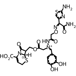 NC(=O)C(=NOCC(=O)N[N+](=Cc1ccc(O)c(O)c1)CC(=O)OCC1C(=O)N2C(C(=O)O)=CCS[C@@H]12)c1csc(N)n1